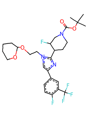 CC(C)(C)OC(=O)N1CCC(c2nc(-c3ccc(F)c(C(F)(F)F)c3)cn2CCOC2CCCCO2)C(F)C1